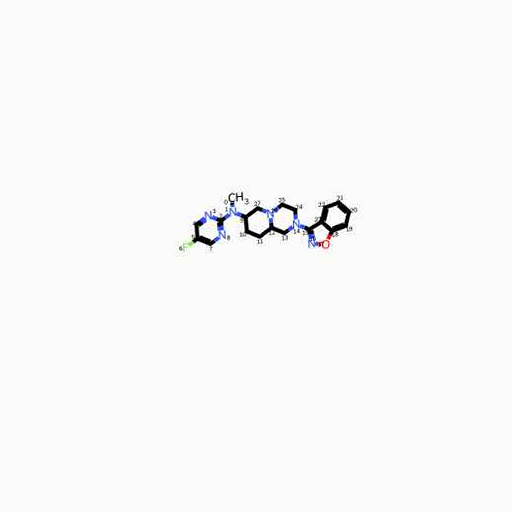 CN(c1ncc(F)cn1)C1CCC2CN(c3noc4ccccc34)CCN2C1